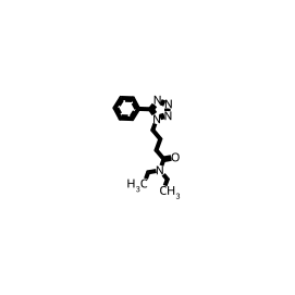 CCN(CC)C(=O)CCCn1nnnc1-c1ccccc1